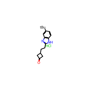 CC(C)(C)c1ccc2[nH]c(CCC3CC(=O)C3)nc2c1.Cl